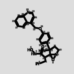 CC(C)CC(C(=O)NO)C12ON1CCC2(N)c1ccc(OCc2ccnc3ccccc23)cc1